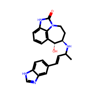 CC(/C=C/c1ccc2[nH]cnc2c1)N[C@@H]1CCn2c(=O)[nH]c3cccc(c32)[C@H]1O